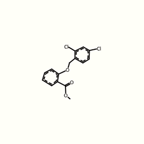 COC(=O)c1ccccc1OCc1ccc(Cl)cc1Cl